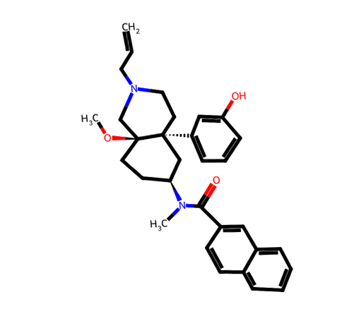 C=CCN1CC[C@@]2(c3cccc(O)c3)C[C@@H](N(C)C(=O)c3ccc4ccccc4c3)CC[C@]2(OC)C1